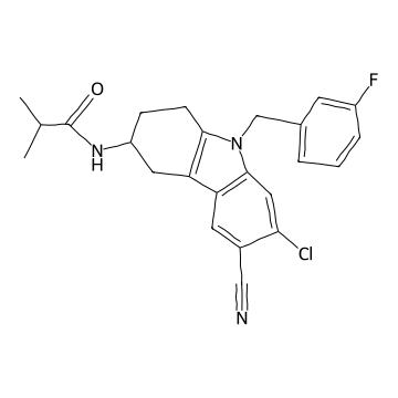 CC(C)C(=O)NC1CCc2c(c3cc(C#N)c(Cl)cc3n2Cc2cccc(F)c2)C1